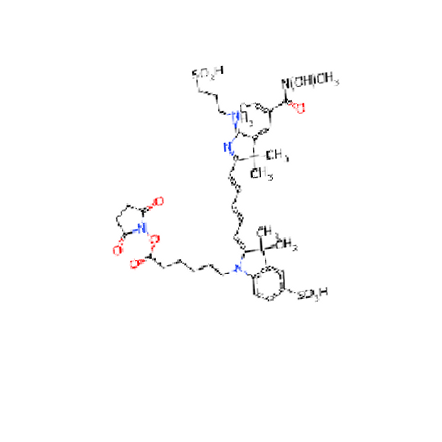 C\C=C(/C=C1\C(=N\CCCS(=O)(=O)O)N=C(/C=C/C=C/C=C2/N(CCCCCC(=O)ON3C(=O)CCC3=O)c3ccc(S(=O)(=O)O)cc3C2(C)C)C1(C)C)C(=O)N(C)O